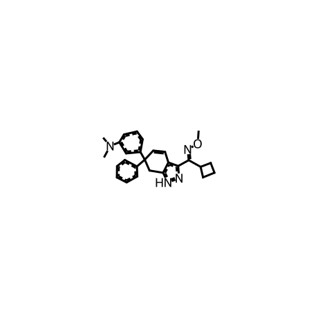 CON=C(c1n[nH]c2c1C=CC(c1ccccc1)(c1cccc(N(C)C)c1)C2)C1CCC1